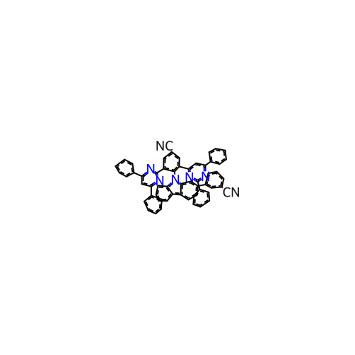 N#Cc1cccc(-c2ccc3c4ccccc4n(-c4c(-c5cc(-c6ccccc6)nc(-c6ccccc6)n5)cc(C#N)cc4-c4nc(-c5ccccc5)cc(-c5ccccc5)n4)c3c2)c1